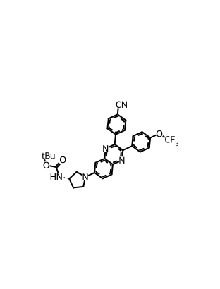 CC(C)(C)OC(=O)N[C@H]1CCN(c2ccc3nc(-c4ccc(OC(F)(F)F)cc4)c(-c4ccc(C#N)cc4)nc3c2)C1